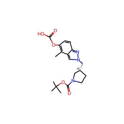 Cc1c(OC(=O)O)ccc2nn(C[C@@H]3CCN(C(=O)OC(C)(C)C)C3)cc12